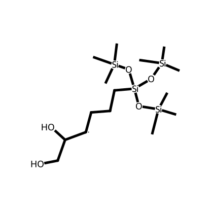 C[Si](C)(C)O[Si](CCC[CH]C(O)CO)(O[Si](C)(C)C)O[Si](C)(C)C